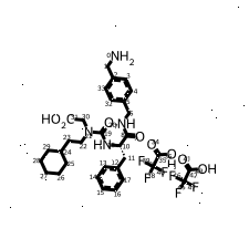 NCc1ccc(CNC(=O)[C@H](Cc2ccccc2)NC(=O)N(CCC2CCCCC2)CC(=O)O)cc1.O=C(O)C(F)(F)F.O=C(O)C(F)(F)F